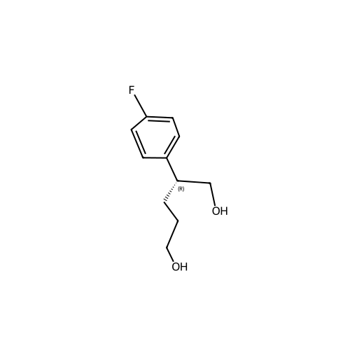 OCCC[C@@H](CO)c1ccc(F)cc1